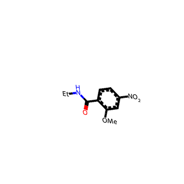 CCNC(=O)c1ccc([N+](=O)[O-])cc1OC